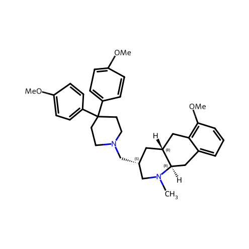 COc1ccc(C2(c3ccc(OC)cc3)CCN(C[C@@H]3C[C@@H]4Cc5c(cccc5OC)C[C@H]4N(C)C3)CC2)cc1